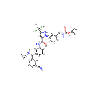 CN(C1CC1)C(c1cccc(C#N)c1)c1cccc(NC(=O)c2cc(C(F)(F)F)nn2-c2cccc(CNC(=O)OC(C)(C)C)c2)c1